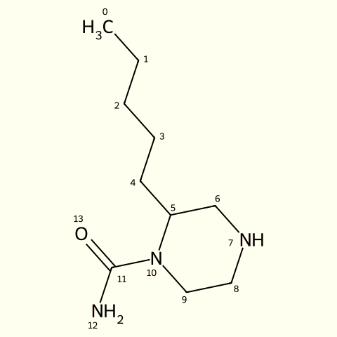 CCCCCC1CNCCN1C(N)=O